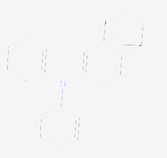 CC12CCC(C)(CC1)c1cc(N(c3ccccc3)c3ccccc3)ccc12